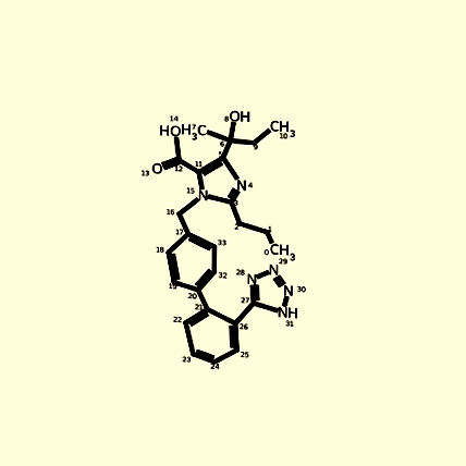 CCCc1nc(C(C)(O)CC)c(C(=O)O)n1Cc1ccc(-c2ccccc2-c2nnn[nH]2)cc1